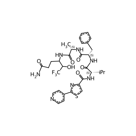 CC(C)[C@H](NC(=O)c1csc(-c2ccncc2)n1)C(=O)N[C@@H](Cc1ccccc1)C(=O)N[C@@H](C)C(=O)NC(CCC(N)=O)C(O)C(F)(F)F